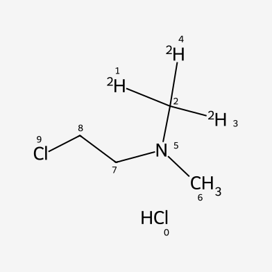 Cl.[2H]C([2H])([2H])N(C)CCCl